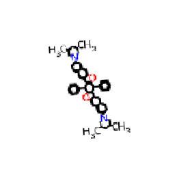 CC1CC(C)CN(c2ccc3cc4c(cc3c2)oc2c(-c3ccccc3)c3c(oc5cc6cc(N7CC(C)CC(C)C7)ccc6cc53)c(-c3ccccc3)c24)C1